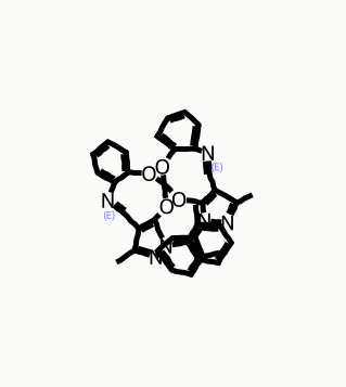 Cc1ccccc1-n1nc(C)c2c1OC1(Oc3ccccc3/N=C/2)Oc2ccccc2/N=C/c2c(C)nn(-c3ccccc3C)c2O1